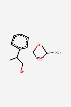 CC(CO)c1ccccc1.CCCC(C)CO.CCCCCCC(C)O